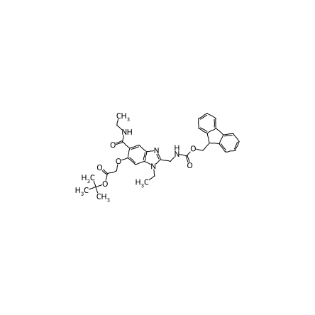 CCNC(=O)c1cc2nc(CNC(=O)OCC3c4ccccc4-c4ccccc43)n(CC)c2cc1OCC(=O)OC(C)(C)C